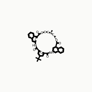 CN1CCOC(=O)c2cc(cc3ccccc23)NC(=O)c2cc(cc(C(C)(C)C)c2)C(=O)Nc2cc(c3ccccc3c2)C(=O)OCC1